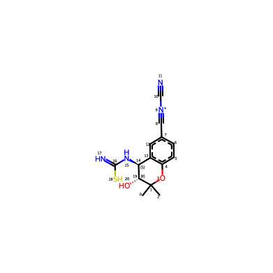 CC1(C)Oc2ccc(C#[N+]C#N)cc2[C@H](NC(=N)S)[C@H]1O